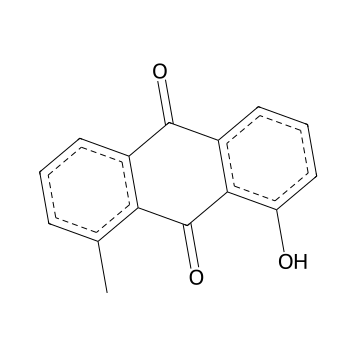 Cc1cccc2c1C(=O)c1c(O)cccc1C2=O